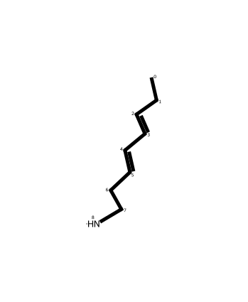 CCC=CC=CCC[NH]